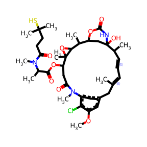 COc1cc2cc(c1Cl)N(C)C(=O)CC(OC(=O)C(C)N(C)C(=O)CCC(C)(C)S)C1(C)OC1C(C)C1CC(O)(NC(=O)O1)C(C)/C=C/C=C(\C)C2